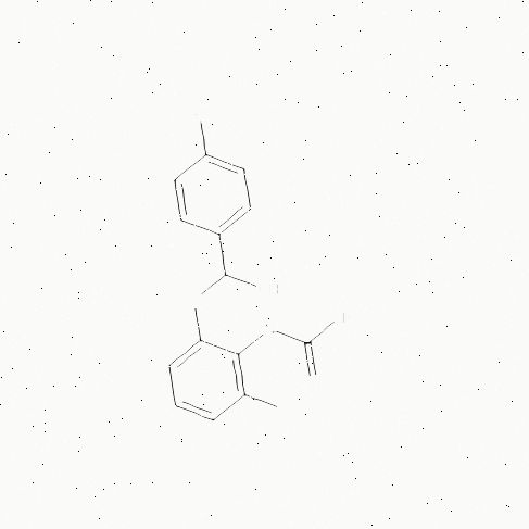 CC(Oc1cccc(F)c1NC(=O)C(C)(C)C)c1ccc(Cl)cc1